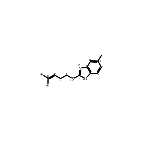 Cc1ccc2oc(SCCC=C(F)F)nc2c1